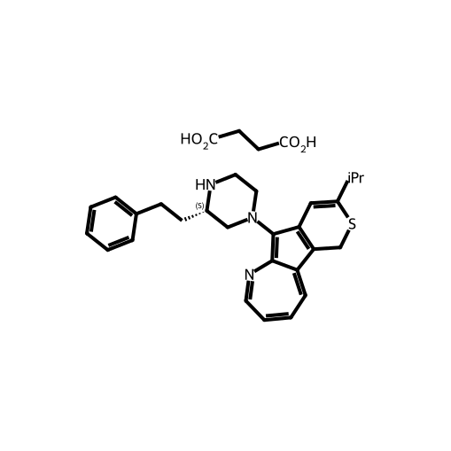 CC(C)C1=Cc2c(c3ccccnc-3c2N2CCN[C@@H](CCc3ccccc3)C2)CS1.O=C(O)CCC(=O)O